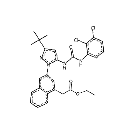 CCOC(=O)Cc1cc(-n2nc(C(C)(C)C)cc2NC(=O)Nc2cccc(Cl)c2Cl)cc2ccccc12